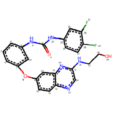 O=C(Nc1cccc(Oc2ccc3ncc(NCCO)nc3c2)c1)Nc1ccc(F)c(F)c1